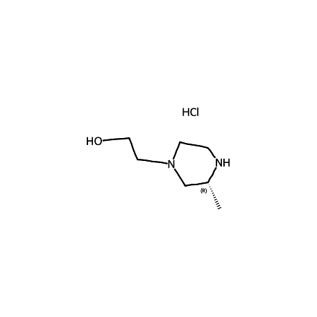 C[C@@H]1CN(CCO)CCN1.Cl